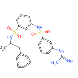 N=C(N)Nc1cccc(S(=O)(=O)Nc2cccc(S(=O)(=O)NC(Cc3ccccc3)C(=O)O)c2)c1